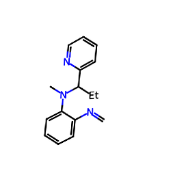 C=Nc1ccccc1N(C)C(CC)c1ccccn1